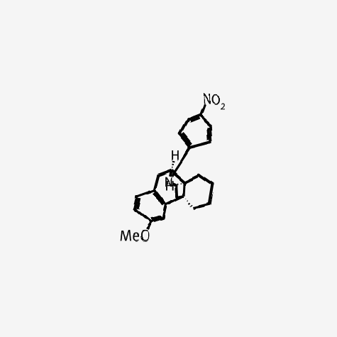 COc1ccc2c(c1)[C@]13CCCC[C@@H]1[C@H](C2)N(c1ccc([N+](=O)[O-])cc1)CC3